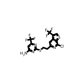 Nc1cc(C(F)(F)F)nc(SCCc2cc3c(C(F)(F)F)csc3c(Cl)n2)n1